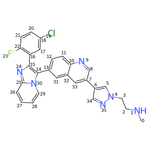 CNCCn1cc(-c2cnc3ccc(-c4c(-c5cc(Cl)ccc5F)nc5ccccn45)cc3c2)cn1